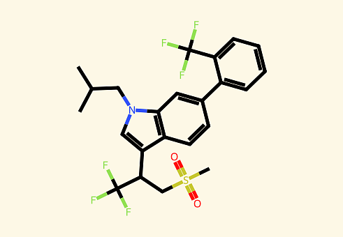 CC(C)Cn1cc(C(CS(C)(=O)=O)C(F)(F)F)c2ccc(-c3ccccc3C(F)(F)F)cc21